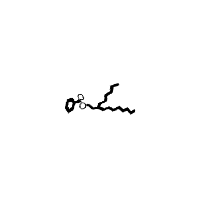 CCCCCCC/C=C(\CCCCCC)CCOC(=O)c1ccccc1